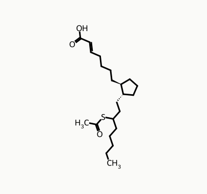 CCCCCC(CC[C@H]1CCC[C@@H]1CCCCC=CC(=O)O)SC(C)=O